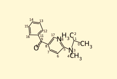 CC(C)N(C)c1ccc(C(=O)c2ccccc2)cn1